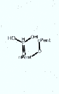 CCCCCOCCCCC.O=[PH](O)O